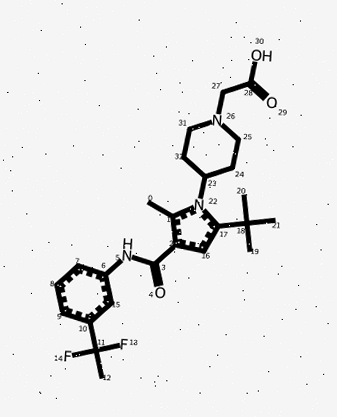 Cc1c(C(=O)Nc2cccc(C(C)(F)F)c2)cc(C(C)(C)C)n1C1CCN(CC(=O)O)CC1